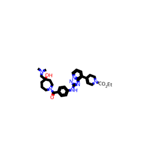 CCOC(=O)N1CC=C(c2cccn3nc(Nc4ccc(C(=O)N5CCCC(O)(CN(C)C)CC5)cc4)nc23)CC1